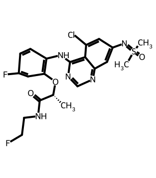 C[C@@H](Oc1cc(F)ccc1Nc1ncnc2cc(N=S(C)(C)=O)cc(Cl)c12)C(=O)NCCF